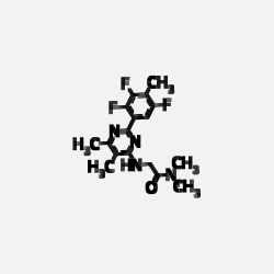 Cc1nc(-c2cc(F)c(C)c(F)c2F)nc(NCC(=O)N(C)C)c1C